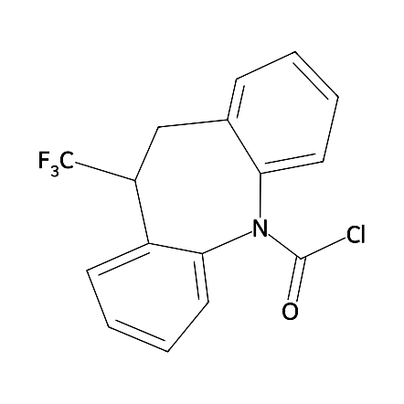 O=C(Cl)N1c2ccccc2CC(C(F)(F)F)c2ccccc21